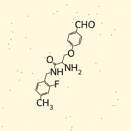 Cc1ccc(CNC(=O)C(N)COc2ccc(C=O)cc2)c(F)c1